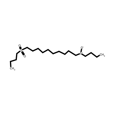 CCCC[S+]([O-])CCCCCCCCCCS(=O)(=O)CCCC